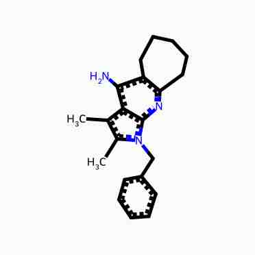 Cc1c(C)n(Cc2ccccc2)c2nc3c(c(N)c12)CCCCC3